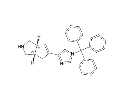 C1=C(c2cn(C(c3ccccc3)(c3ccccc3)c3ccccc3)cn2)C[C@@H]2CNC[C@H]12